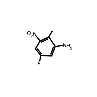 Cc1c(N)cc(F)cc1[N+](=O)[O-]